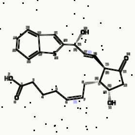 O=C(O)CCC/C=C\C[C@H]1[C@@H](O)CC(=O)[C@@H]1/C=C/[C@@H](O)c1cc2ccccc2s1